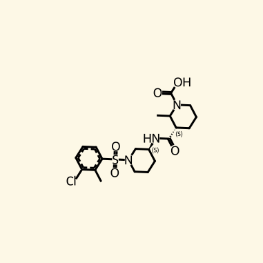 Cc1c(Cl)cccc1S(=O)(=O)N1CCC[C@H](NC(=O)[C@H]2CCCN(C(=O)O)C2C)C1